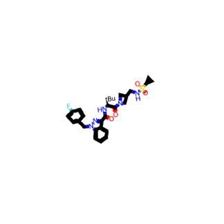 CC(C)(C)[C@H](NC(=O)c1nn(Cc2ccc(F)cc2)c2ccccc12)C(=O)N1CC(CNS(=O)(=O)C2CC2)C1